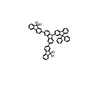 CCC1(CC)c2ccccc2-c2ccc(-c3ccc4c(c3)c3cc(-c5ccc6c(c5)C(CC)(CC)c5ccccc5-6)ccc3n4-c3ccc4c(c3)C(c3ccccc3)(c3ccccc3)c3ccccc3-4)cc21